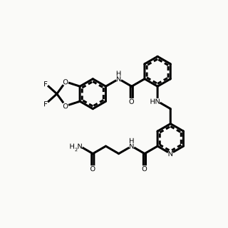 NC(=O)CCNC(=O)c1cc(CNc2ccccc2C(=O)Nc2ccc3c(c2)OC(F)(F)O3)ccn1